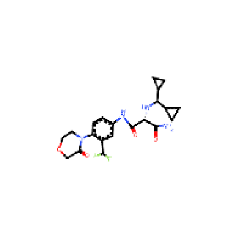 NC(=O)[C@@H](NC(C1CC1)C1CC1)C(=O)Nc1ccc(N2CCOCC2=O)c(C(F)F)c1